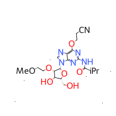 COCCO[C@H]1C(O)[C@@H](CO)O[C@H]1n1cnc2c(OCCC#N)nc(NC(=O)C(C)C)nc21